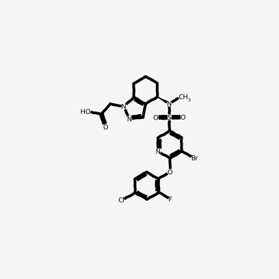 CN([C@@H]1CCCc2c1cnn2CC(=O)O)S(=O)(=O)c1cnc(Oc2ccc(Cl)cc2F)c(Br)c1